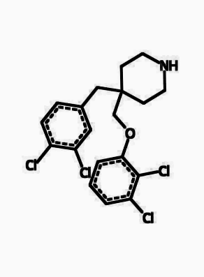 Clc1ccc(CC2(COc3cccc(Cl)c3Cl)CCNCC2)cc1Cl